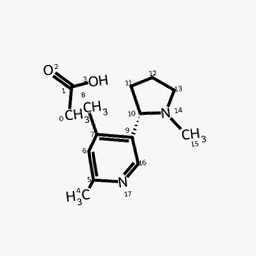 CC(=O)O.Cc1cc(C)c([C@@H]2CCCN2C)cn1